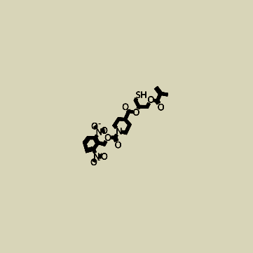 C=C(C)C(=O)OCC(CS)OC(=O)C1CCN(C(=O)OCc2c([N+](=O)[O-])cccc2[N+](=O)[O-])CC1